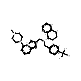 CN1CCN(c2cccc3nc(CN(Cc4ccc(C(F)(F)F)cc4)[C@H]4CCCc5cccnc54)cn23)CC1